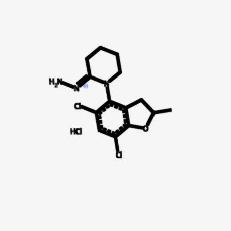 CC1Cc2c(c(Cl)cc(Cl)c2N2CCCC/C2=N\N)O1.Cl